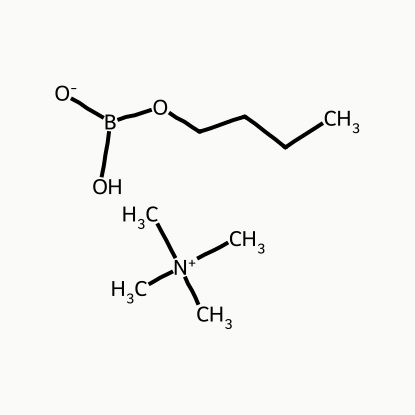 CCCCOB([O-])O.C[N+](C)(C)C